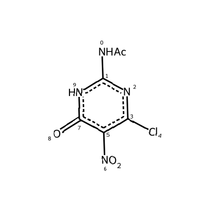 CC(=O)Nc1nc(Cl)c([N+](=O)[O-])c(=O)[nH]1